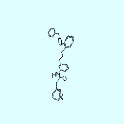 O=C(Cc1cccnc1)Nc1cccc(CCCc2ccccc2OCc2ccccc2)c1